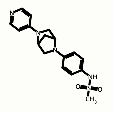 CS(=O)(=O)Nc1ccc(N2CC3CC2CN3c2ccncc2)cc1